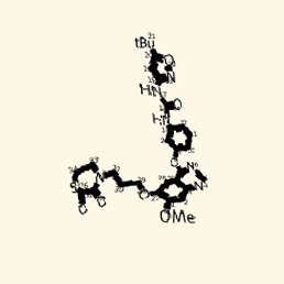 COc1cc2ncnc(Oc3cccc(NC(=O)Nc4cc(C(C)(C)C)on4)c3)c2cc1OCCCN1CCSC(=O)C1=O